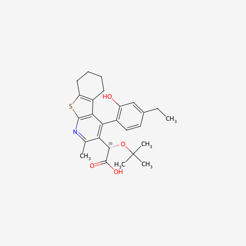 CCc1ccc(-c2c([C@H](OC(C)(C)C)C(=O)O)c(C)nc3sc4c(c23)CCCC4)c(O)c1